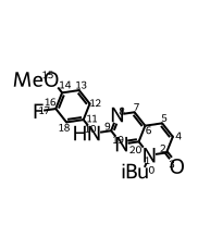 CCC(C)n1c(=O)ccc2cnc(Nc3ccc(OC)c(F)c3)nc21